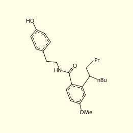 CCCCC(CC(C)C)c1cc(OC)ccc1C(=O)NCCc1ccc(O)cc1